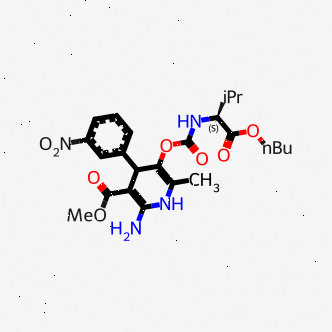 CCCCOC(=O)[C@@H](NC(=O)OC1=C(C)NC(N)=C(C(=O)OC)C1c1cccc([N+](=O)[O-])c1)C(C)C